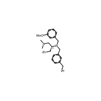 COc1cccc(CN(Cc2cccc(CC(C)C)c2)[C@@H](CC(C)C)CN(C)C)c1